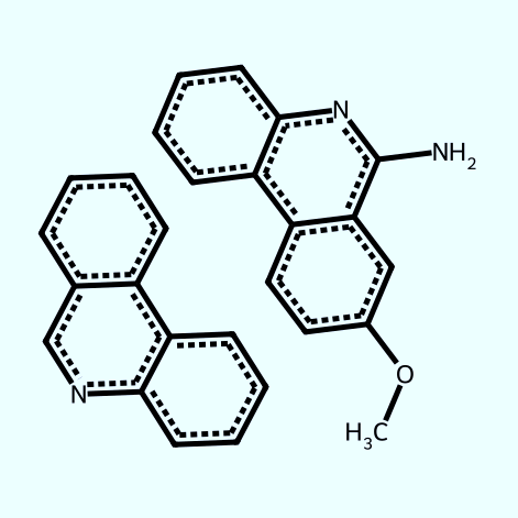 COc1ccc2c(c1)c(N)nc1ccccc12.c1ccc2c(c1)cnc1ccccc12